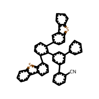 N#Cc1ccccc1-c1cc(-c2ccccc2)cc(-c2c(-c3ccc4sc5ccccc5c4c3)cccc2-c2cccc3c2sc2ccccc23)c1